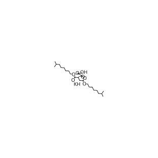 CC(C)CCCCCCOC(=O)CC(C(=O)OCCCCCCC(C)C)S(=O)(=O)O.[KH]